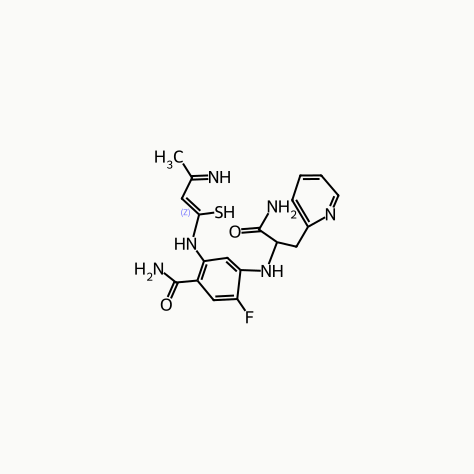 CC(=N)/C=C(\S)Nc1cc(NC(Cc2ccccn2)C(N)=O)c(F)cc1C(N)=O